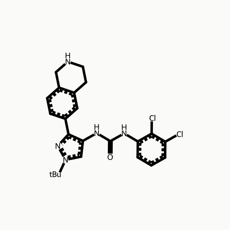 CC(C)(C)n1cc(NC(=O)Nc2cccc(Cl)c2Cl)c(-c2ccc3c(c2)CCNC3)n1